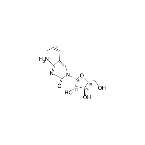 C/C=C\c1cn([C@@H]2O[C@H](CO)[C@@H](O)[C@@H]2O)c(=O)nc1N